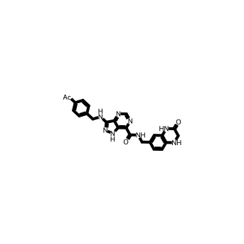 CC(=O)c1ccc(CNc2n[nH]c3c(C(=O)NCc4ccc5c(c4)NC(=O)CN5)ncnc23)cc1